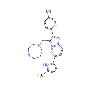 Cc1ccc(-c2ccc3nc(-c4ccc(C#N)cc4)c(CN4CCCNCC4)n3c2)[nH]1